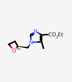 CCOC(=O)c1ncn(C[C@@H]2CCO2)c1C